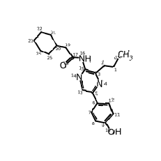 CCCc1nc(-c2ccc(O)cc2)cnc1NC(=O)CC1CCCCC1